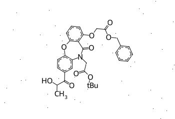 CC(O)C(=O)c1ccc2c(c1)N(CC(=O)OC(C)(C)C)C(=O)c1c(OCC(=O)OCc3ccccc3)cccc1O2